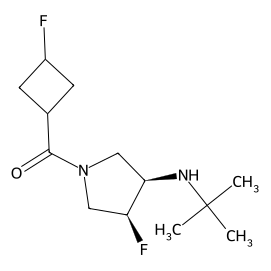 CC(C)(C)N[C@@H]1CN(C(=O)C2CC(F)C2)C[C@@H]1F